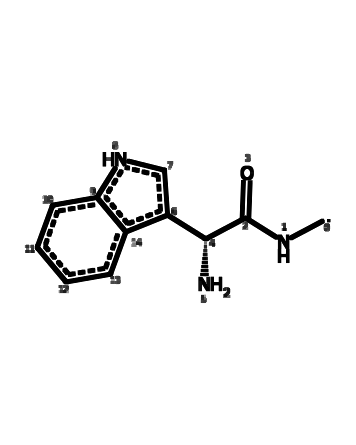 [CH2]NC(=O)[C@H](N)c1c[nH]c2ccccc12